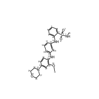 CNS(=O)(=O)c1ccccc1Nc1ccnc(Nc2ccc(N3CCOCC3)cc2OC)n1